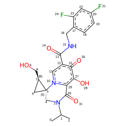 CC(C)N1C[C@@]2(C[C@H]2CO)n2cc(C(=O)NCc3ccc(F)cc3F)c(=O)c(O)c2C1=O